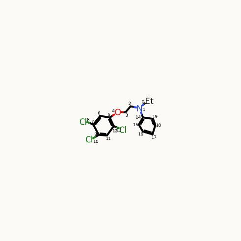 CCN(CCOc1cc(Cl)c(Cl)cc1Cl)c1ccccc1